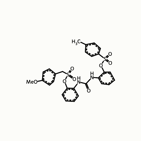 COc1ccc(CS(=O)(=O)Oc2ccccc2NC(=O)Nc2ccccc2OS(=O)(=O)c2ccc(C)cc2)cc1